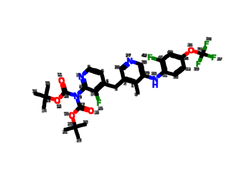 Cc1c(Cc2ccnc(N(C(=O)OC(C)(C)C)C(=O)OC(C)(C)C)c2F)cncc1Nc1ccc(OC(F)(F)F)cc1F